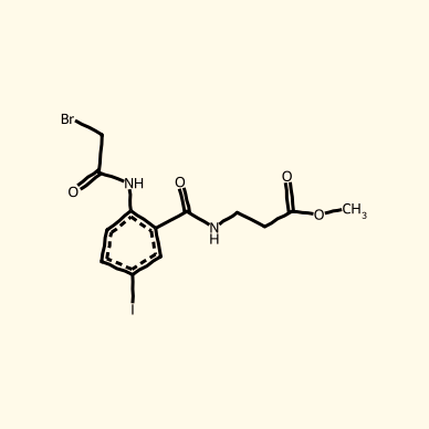 COC(=O)CCNC(=O)c1cc(I)ccc1NC(=O)CBr